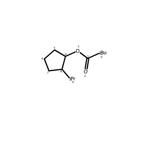 CCC(C)C(=O)OC1CCCC1C(C)C